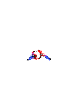 C/C1=C/C=C/C(C)[C@H](O)[C@@H](C)C(O)C[C@H](OC(=O)CC(=O)N2CCN(c3ccccn3)CC2)CC/C=C/OC2(C)Oc3c(C)c(O)c4c(c3C2=O)C2=NC3(CCN(CC(C)C)CC3)NC2=C(NC1=O)C4=O